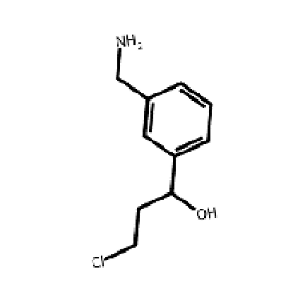 NCc1cccc(C(O)CCCl)c1